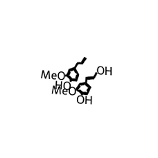 C=CCc1ccc(O)c(OC)c1.COc1cc(/C=C/CO)ccc1O